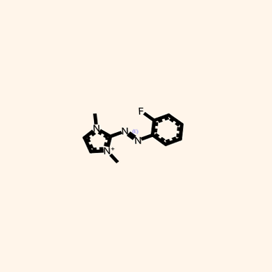 Cn1cc[n+](C)c1/N=N/c1ccccc1F